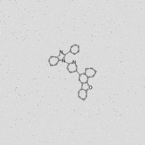 c1ccc(-c2nc3ccccc3n2-c2ccc(-c3cc4c5ccccc5oc4c4ccccc34)cn2)cc1